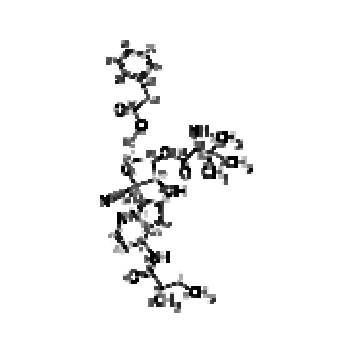 CC[C@@H](C)C(=O)Nc1ncnn2c([C@]3(C#N)O[C@H](COC(=O)Cc4ccccc4)[C@@H](OC(=O)[C@H](N)C(C)(C)C)[C@H]3O)ccc12